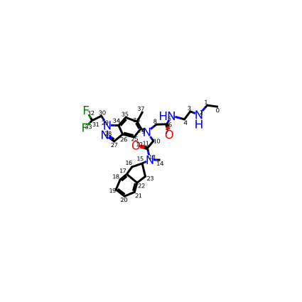 CCNCCNC(=O)CN(CC(=O)N(C)C1Cc2ccccc2C1)c1cc2cnn(CC(F)F)c2cc1C